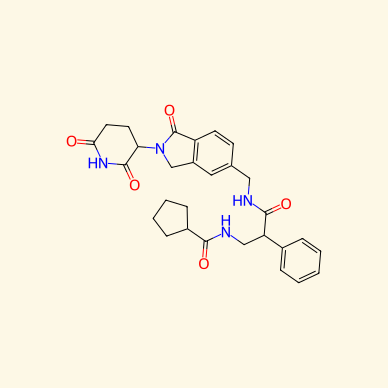 O=C1CCC(N2Cc3cc(CNC(=O)C(CNC(=O)C4CCCC4)c4ccccc4)ccc3C2=O)C(=O)N1